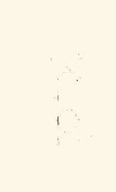 CCNc1nc(Nc2cn(C3(C)CCOC3=O)nc2Cl)ncc1C(F)(F)F